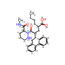 CCCCC(CC(CCc1ccccc1-c1ccccc1)C(=O)N1NCCCC1C(=O)NC)C(=O)O